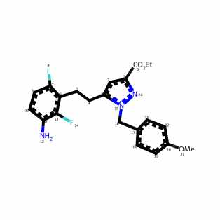 CCOC(=O)c1cc(CCc2c(F)ccc(N)c2F)n(Cc2ccc(OC)cc2)n1